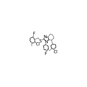 Cc1cc(C2CCCc3nc(SCc4c(F)ccc(C)c4Cl)n(-c4ccc(F)cc4)c32)ccc1Cl